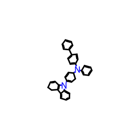 C1=Cc2c(c3ccccc3n2C2=CCC(N(c3ccccc3)c3ccc(-c4ccccc4)cc3)C=C2)CC1